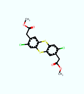 COC(=O)Cc1cc2c(cc1Cl)Sc1cc(CC(=O)OC)c(Cl)cc1S2